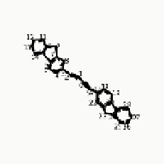 C(C#Cc1ccc2c(c1)Cc1ccccc1-2)#Cc1ccc2c(c1)Cc1ccccc1-2